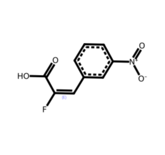 O=C(O)/C(F)=C\c1cccc([N+](=O)[O-])c1